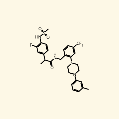 Cc1cccc(N2CCN(c3cc(C(F)(F)F)ccc3CNC(=O)C(C)c3ccc(NS(C)(=O)=O)c(F)c3)CC2)c1